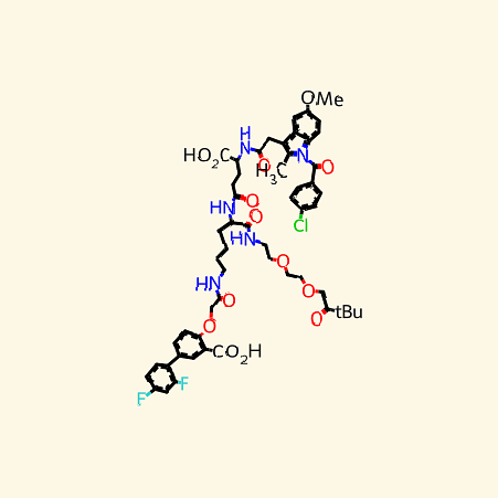 COc1ccc2c(c1)c(CC(=O)NC(CCC(=O)NC(CCCCNC(=O)COc1ccc(-c3ccc(F)cc3F)cc1C(=O)O)C(=O)NCCOCCOCC(=O)C(C)(C)C)C(=O)O)c(C)n2C(=O)c1ccc(Cl)cc1